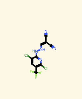 N#CC(C#N)=CNNc1nc(Cl)c(C(F)(F)F)cc1Cl